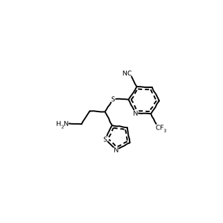 N#Cc1ccc(C(F)(F)F)nc1SC(CCN)c1ccns1